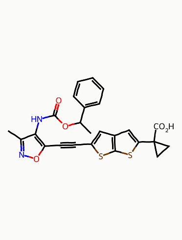 Cc1noc(C#Cc2cc3cc(C4(C(=O)O)CC4)sc3s2)c1NC(=O)OC(C)c1ccccc1